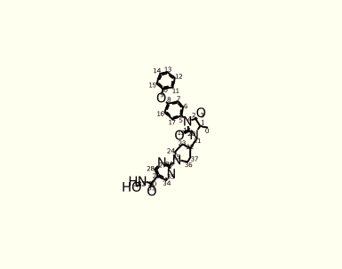 CC1C(=O)N(c2ccc(Oc3ccccc3)cc2)C(=O)N1CC1CCN(c2ncc(C(=O)NO)cn2)CC1